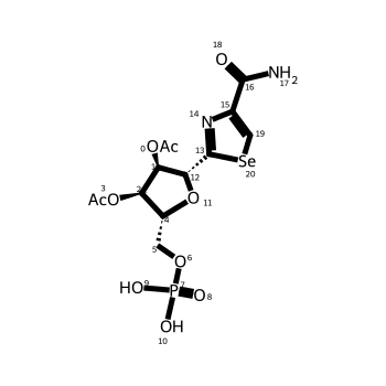 CC(=O)O[C@@H]1[C@H](OC(C)=O)[C@@H](COP(=O)(O)O)O[C@H]1c1nc(C(N)=O)c[se]1